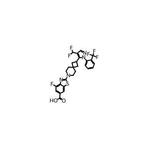 O=C(O)c1cc(F)c2nc(N3CCC4(CC3)CC(c3c(C(F)F)cnn3-c3ccccc3C(F)(F)F)C4)sc2c1